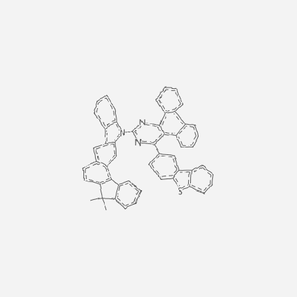 CC1(C)c2ccccc2-c2c1ccc1cc3c4ccccc4n(-c4nc(-c5ccc6sc7ccccc7c6c5)c5c6ccccc6c6ccccc6c5n4)c3cc21